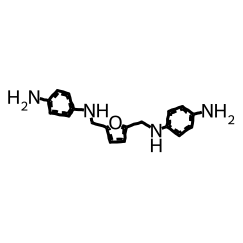 Nc1ccc(NCc2ccc(CNc3ccc(N)cc3)o2)cc1